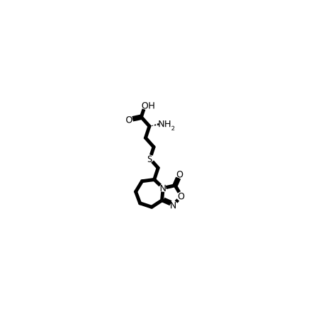 N[C@H](CCSCC1CCCCc2noc(=O)n21)C(=O)O